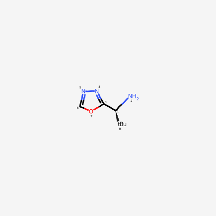 CC(C)(C)[C@H](N)c1nn[c]o1